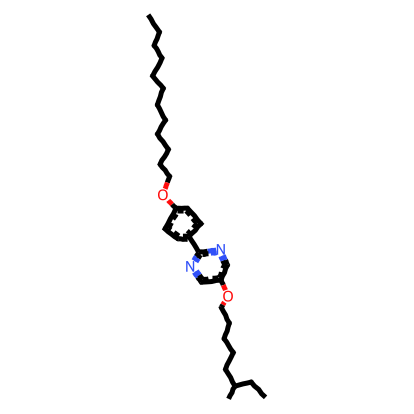 CCCCCCCCCCCCOc1ccc(-c2ncc(OCCCCCC(C)CC)cn2)cc1